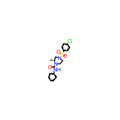 C[C@H]1CN(S(=O)(=O)c2ccc(Cl)cc2)CCN1C(=O)Nc1ccccc1